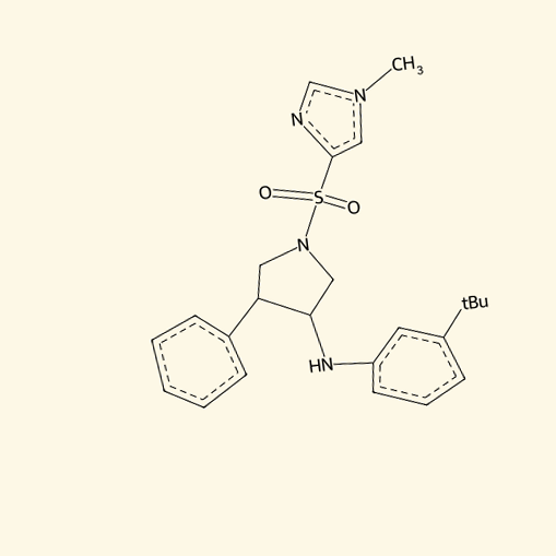 Cn1cnc(S(=O)(=O)N2CC(Nc3cccc(C(C)(C)C)c3)C(c3ccccc3)C2)c1